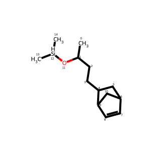 CC(CCC1CC2C=CC1C2)O[SiH](C)C